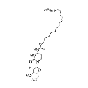 CCCCC/C=C\C/C=C\CCCCCCCCOC(=S)NC1C=CN([C@@H]2O[C@H](CO)[C@@H](O)[C@@H]2F)C(=O)N1